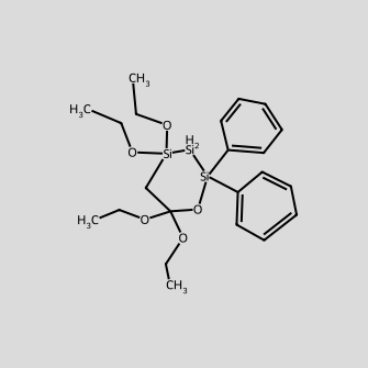 CCOC1(OCC)C[Si](OCC)(OCC)[SiH2][Si](c2ccccc2)(c2ccccc2)O1